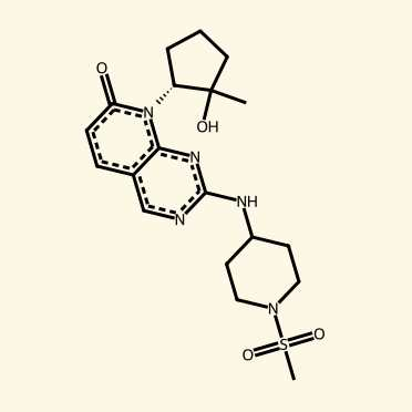 CC1(O)CCC[C@H]1n1c(=O)ccc2cnc(NC3CCN(S(C)(=O)=O)CC3)nc21